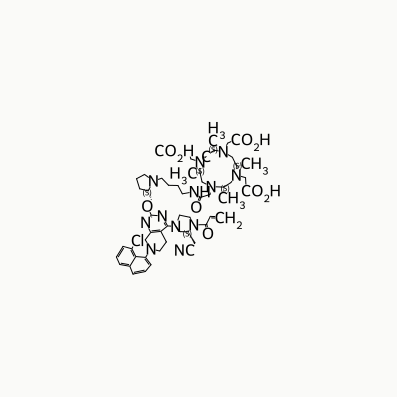 C=CC(=O)N1CCN(c2nc(OC[C@@H]3CCCN3CCCCNC(=O)CN3C[C@H](C)N(CC(=O)O)C[C@H](C)N(CC(=O)O)C[C@H](C)N(CC(=O)O)C[C@@H]3C)nc3c2CCN(c2cccc4cccc(Cl)c24)C3)C[C@@H]1CC#N